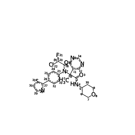 C[C@@](C(=O)NC1CCOCC1)(c1cncnc1)N(C(=O)[C@H](F)Cl)c1ccc(-c2nccs2)cc1